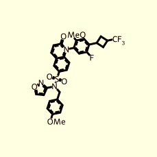 COc1ccc(CN(c2ccon2)S(=O)(=O)c2ccc3c(ccc(=O)n3-c3cc(F)c(C4CC(C(F)(F)F)C4)cc3OC)c2)cc1